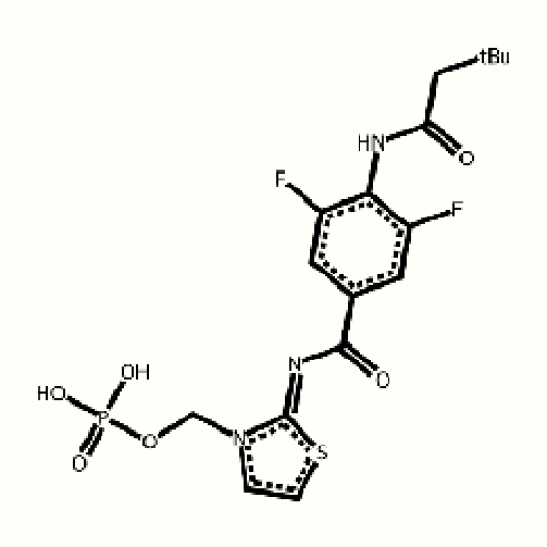 CC(C)(C)CC(=O)Nc1c(F)cc(C(=O)/N=c2\sccn2COP(=O)(O)O)cc1F